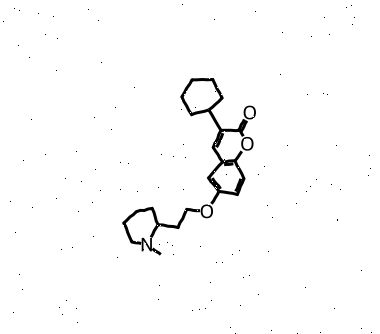 CN1CCCCC1CCOc1ccc2oc(=O)c(C3CCCCC3)cc2c1